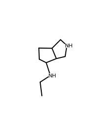 CCNC1CCC2CNCC21